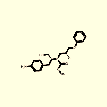 CC(C)(C)OC(=O)N(C[C@@H](O)COc1ccccc1)[C@H](CO)Cc1ccc(N)cc1